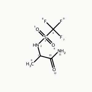 CC(NS(=O)(=O)C(F)(F)F)C(N)=O